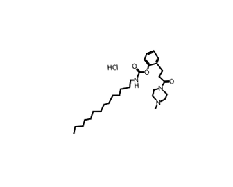 CCCCCCCCCCCCCCNC(=O)Oc1ccccc1CCC(=O)N1CCN(C)CC1.Cl